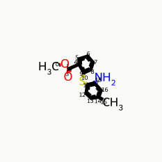 COC(=O)c1ccccc1Sc1ccc(C)cc1N